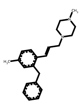 Cc1ccc(C=CCN2CCN(C)CC2)c(Cc2ccccc2)c1